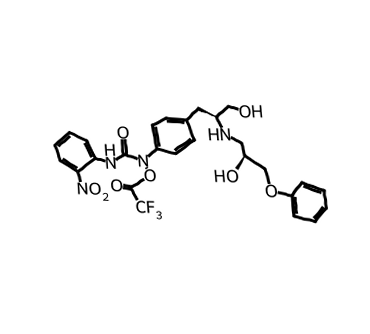 O=C(Nc1ccccc1[N+](=O)[O-])N(OC(=O)C(F)(F)F)c1ccc(C[C@@H](CO)NC[C@H](O)COc2ccccc2)cc1